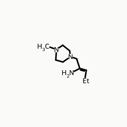 CC/C=C(\N)CN1CCN(C)CC1